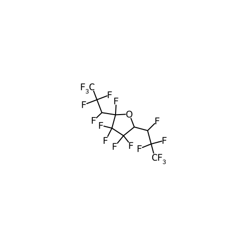 FC(C1OC(F)(C(F)C(F)(F)C(F)(F)F)C(F)(F)C1(F)F)C(F)(F)C(F)(F)F